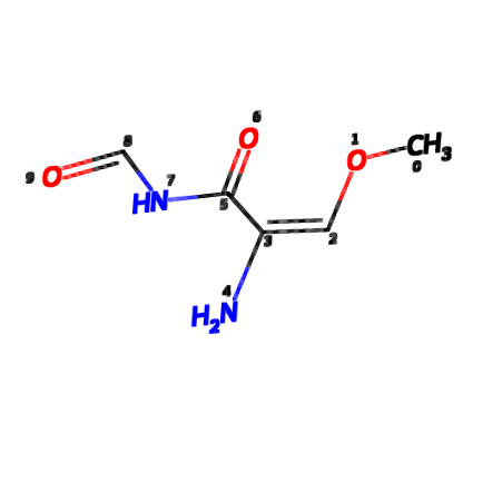 CO/C=C(/N)C(=O)NC=O